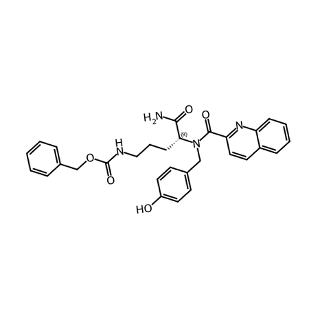 NC(=O)[C@@H](CCCNC(=O)OCc1ccccc1)N(Cc1ccc(O)cc1)C(=O)c1ccc2ccccc2n1